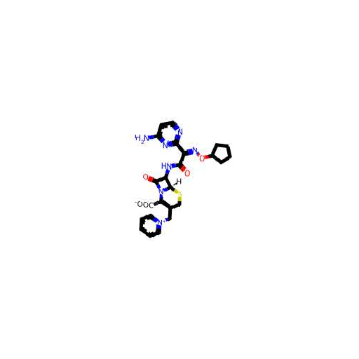 Nc1ccnc(/C(=N/OC2CCCC2)C(=O)NC2C(=O)N3C(C(=O)[O-])=C(C[n+]4ccccc4)CS[C@H]23)n1